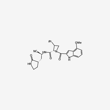 COc1cccc2[nH]c(C(=O)N3CC(C(C)C)[C@H]3C(=O)N[C@H](C#N)C[C@@H]3CCNC3=O)cc12